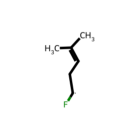 CC(C)=CC[CH]F